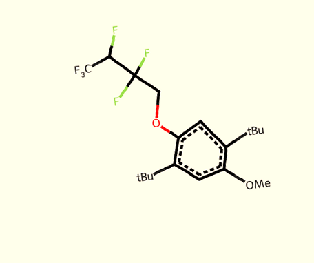 COc1cc(C(C)(C)C)c(OCC(F)(F)C(F)C(F)(F)F)cc1C(C)(C)C